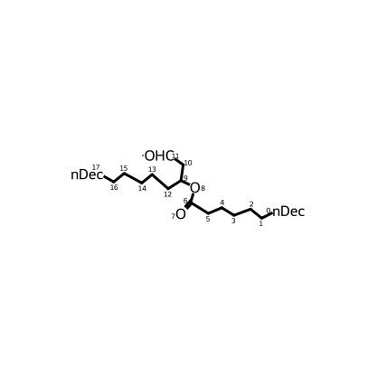 CCCCCCCCCCCCCCCC(=O)OC(C[C]=O)CCCCCCCCCCCCCCC